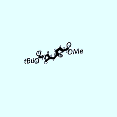 COC(=O)c1ccc(CC2CN(C(=O)OC(C)(C)C)C2)s1